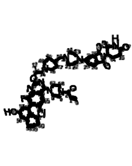 C=CC(=O)N1CCN(c2nc(O[C@H](C)CN3CCC(CN4CCN(c5ccc6c(c5)C(=O)N(C5CCC(=O)NC5=O)C6=O)CC4)CC3)nc3c(F)c(-c4cc(O)cc5ccccc45)c(Cl)cc23)CC1